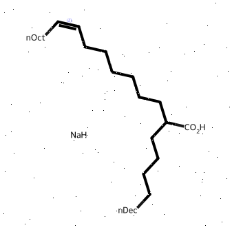 CCCCCCCC/C=C\CCCCCCC(CCCCCCCCCCCCCC)C(=O)O.[NaH]